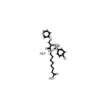 Cl.O=C(O)CCCCCCCNC(=O)C(COc1cccnc1)NS(=O)(=O)c1ccc(Cl)cc1